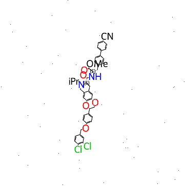 COC(=O)[C@H](Cc1ccc(-c2ccc(C#N)cc2)cc1)NC(=O)[C@@H]1Cc2cc3c(cc2CN1C(C)C)OC(c1ccc(OCc2ccc(Cl)c(Cl)c2)cc1)CO3